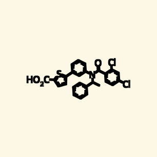 CC(c1ccccc1)N(C(=O)c1ccc(Cl)cc1Cl)c1cccc(-c2ccc(C(=O)O)s2)c1